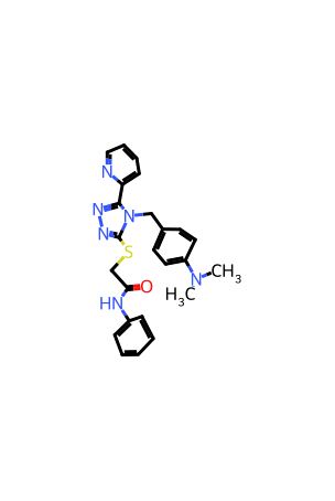 CN(C)c1ccc(Cn2c(SCC(=O)Nc3ccccc3)nnc2-c2ccccn2)cc1